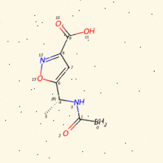 BC(=O)N[C@H](C)c1cc(C(=O)O)no1